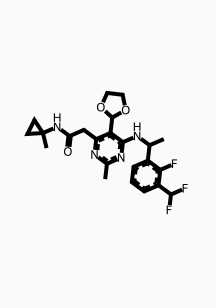 Cc1nc(CC(=O)NC2(C)CC2)c(C2OCCO2)c(NC(C)c2cccc(C(F)F)c2F)n1